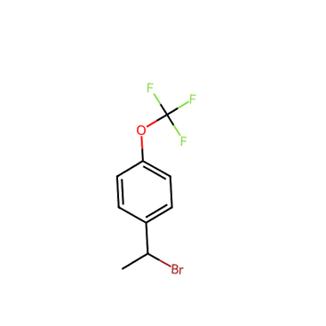 CC(Br)c1ccc(OC(F)(F)F)cc1